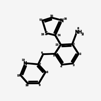 Nc1cccc(Cc2ccccn2)c1-c1nccs1